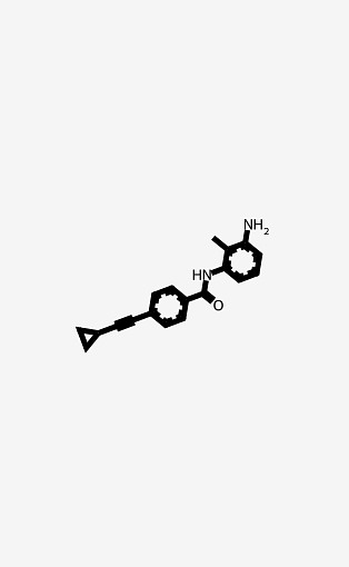 Cc1c(N)cccc1NC(=O)c1ccc(C#CC2CC2)cc1